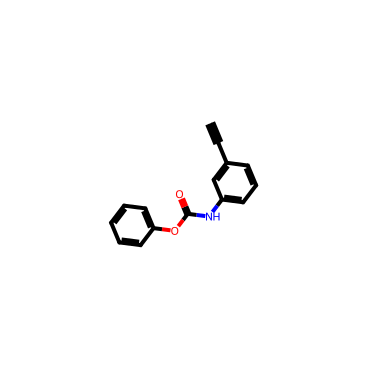 C#Cc1cccc(NC(=O)Oc2ccccc2)c1